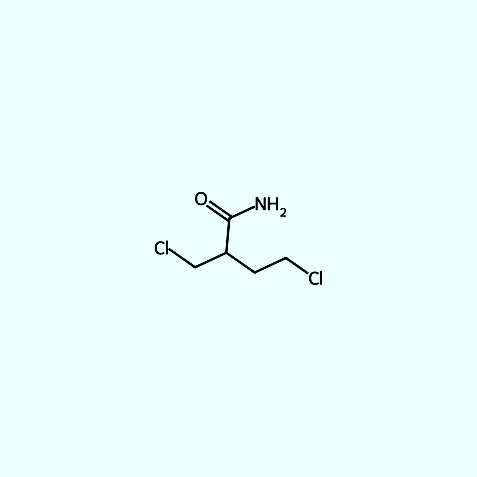 NC(=O)C(CCl)CCCl